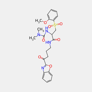 COc1ccccc1S(=O)(=O)CC(NC(=O)N(C)C)C(=O)NCCCC(=O)c1nc2ccccc2o1